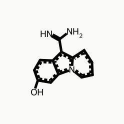 N=C(N)c1c2ccc(O)cc2n2ccccc12